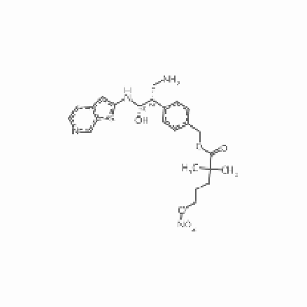 CC(C)(CCCO[N+](=O)[O-])C(=O)OCc1ccc([C@@H](CN)[C@H](O)Nc2cc3ccncc3s2)cc1